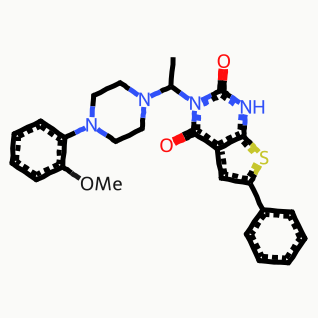 COc1ccccc1N1CCN(C(C)n2c(=O)[nH]c3sc(-c4ccccc4)cc3c2=O)CC1